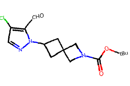 CC(C)(C)OC(=O)N1CC2(CC(n3ncc(Cl)c3C=O)C2)C1